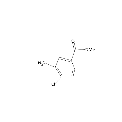 CNC(=O)c1ccc(Cl)c(N)c1